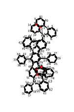 c1ccc(-c2ccccc2N(c2ccccc2)c2ccc3c4c(-c5ccccc5)c5c(c(-c6ccccc6)c4n4c6ccccc6c2c34)c2ccc(N(c3ccccc3)c3ccccc3-c3ccccc3)c3c4ccccc4n5c23)cc1